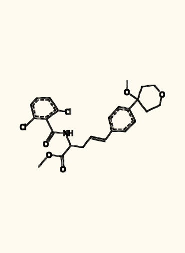 COC(=O)C(CC=Cc1ccc(C2(OC)CCOCC2)cc1)NC(=O)c1c(Cl)cccc1Cl